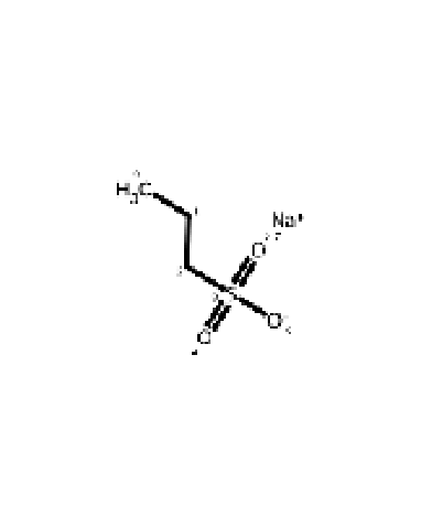 CCCS(=O)(=O)[O-].[Na+]